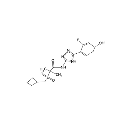 CC(C)(C(=O)Nc1nnc(C2=CCC(O)C=C2F)[nH]1)S(=O)(=O)CC1CCC1